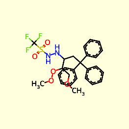 COCC(OOC)C(CC(c1ccccc1)(c1ccccc1)c1ccccc1)NNS(=O)(=O)C(F)(F)F